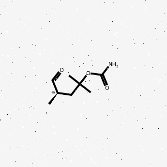 C[C@@H](C=O)CC(C)(C)OC(N)=O